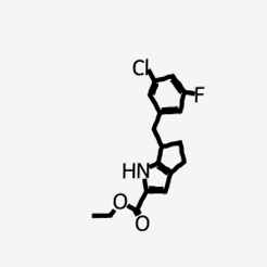 CCOC(=O)c1cc2c([nH]1)C(Cc1cc(F)cc(Cl)c1)CC2